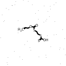 C=CCOC(=O)SCCSC(O)=S